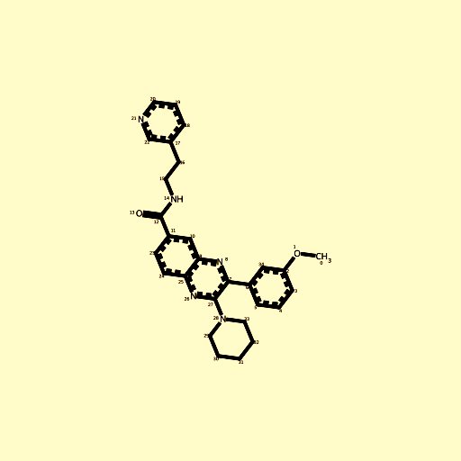 COc1cccc(-c2nc3cc(C(=O)NCCc4cccnc4)ccc3nc2N2CCCCC2)c1